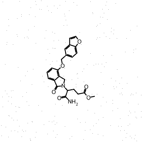 COC(=O)CCC(C(N)=O)N1Cc2c(OCc3ccc4occc4c3)cccc2C1=O